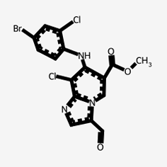 COC(=O)c1cn2c(C=O)cnc2c(Cl)c1Nc1ccc(Br)cc1Cl